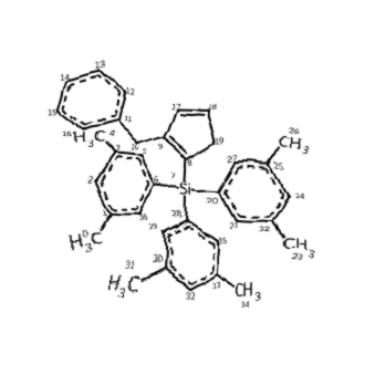 Cc1cc(C)cc([Si](C2=C(Cc3ccccc3)C=CC2)(c2cc(C)cc(C)c2)c2cc(C)cc(C)c2)c1